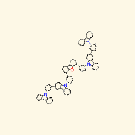 c1cc(-c2ccc3c(c2)c2ccccc2n3-c2cccc(-c3cccc4c3oc3c(-c5cccc(-n6c7ccccc7c7cc(-c8cccc(-n9c%10ccccc%10c%10ccccc%109)c8)ccc76)c5)cccc34)c2)cc(-n2c3ccccc3c3ccccc32)c1